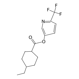 CCC1CCC(C(=O)Oc2ccc(C(F)(F)F)nc2)CC1